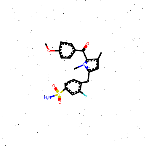 COc1ccc(C(=O)c2c(C)cc(Cc3ccc(S(N)(=O)=O)cc3F)n2C)cc1